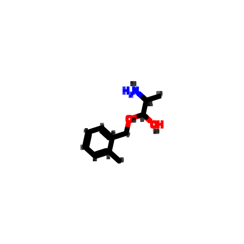 Cc1ccccc1COC(O)C(C)N